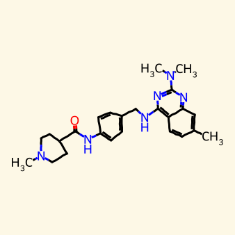 Cc1ccc2c(NCc3ccc(NC(=O)C4CCN(C)CC4)cc3)nc(N(C)C)nc2c1